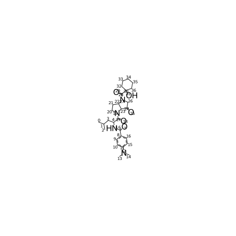 CC(C)CC(NC(=O)c1ccc(N(C)C)cc1)C(=O)N1CCC2C1C(=O)CN2C(=O)C1(O)CCCCC1